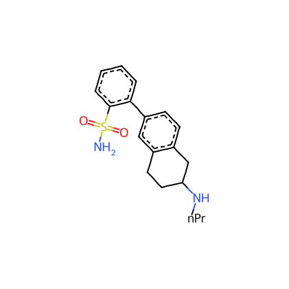 CCCNC1CCc2cc(-c3ccccc3S(N)(=O)=O)ccc2C1